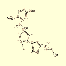 COc1ccc(C(C)(C)C)cc1C(=O)Nc1ccc(C)c(-c2cc(C(=O)NCC(C)(C)C)[nH]n2)c1